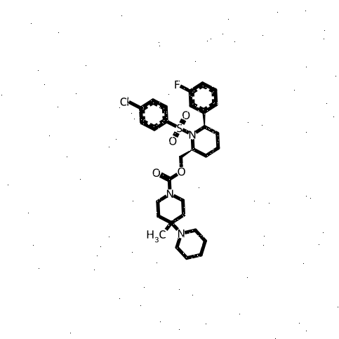 CC1(N2CCCCC2)CCN(C(=O)OC[C@@H]2CCC[C@H](c3cccc(F)c3)N2S(=O)(=O)c2ccc(Cl)cc2)CC1